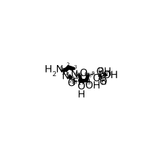 Nc1ccn([C@@H]2O[C@H](COP(=O)(O)O)[C@@H](O)[C@]2(O)F)c(=O)n1